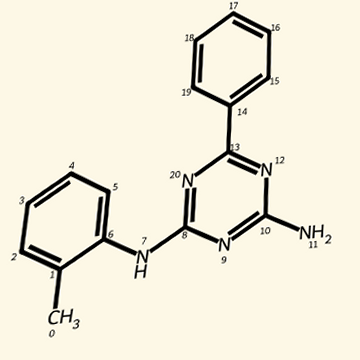 Cc1ccccc1Nc1nc(N)nc(-c2ccccc2)n1